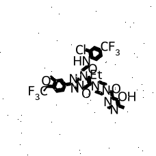 CCc1c(N2CCN(C(=O)c3ncnc(C)c3O)CC2)c(=O)n2nc(-c3ccc4c(c3)CO[C@@H]4C(F)(F)F)nc2n1CC(=O)Nc1ccc(C(F)(F)F)cc1Cl